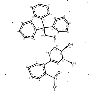 O=[N+]([O-])c1cnccc1C1=C[C@@H](O)[C@H](O)[C@@H](COC(c2ccccc2)(c2ccccc2)c2ccccc2)O1